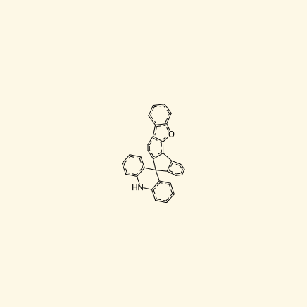 c1ccc2c(c1)Nc1ccccc1C21c2ccccc2-c2c1ccc1c2oc2ccccc21